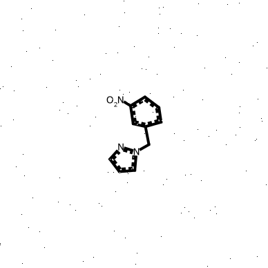 O=[N+]([O-])c1cccc(Cn2cccn2)c1